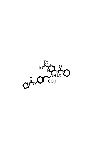 CCN(CC)c1ncc(N(CC)C(=O)N2CCCCC2)c(N[C@@H](Cc2ccc(OC(=O)N3CCCC3)cc2)C(=O)O)n1